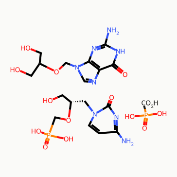 Nc1ccn(C[C@@H](CO)OCP(=O)(O)O)c(=O)n1.Nc1nc2c(ncn2COC(CO)CO)c(=O)[nH]1.O=C(O)P(=O)(O)O